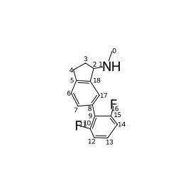 CNC1CCc2ccc(-c3c(F)cccc3F)cc21